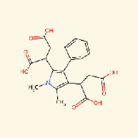 Cc1c(C(CC(=O)O)C(=O)O)c(-c2ccccc2)c(C(CC(=O)O)C(=O)O)n1C